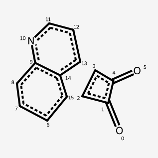 O=c1ccc1=O.c1ccc2ncccc2c1